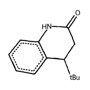 CC(C)(C)C1CC(=O)Nc2ccccc21